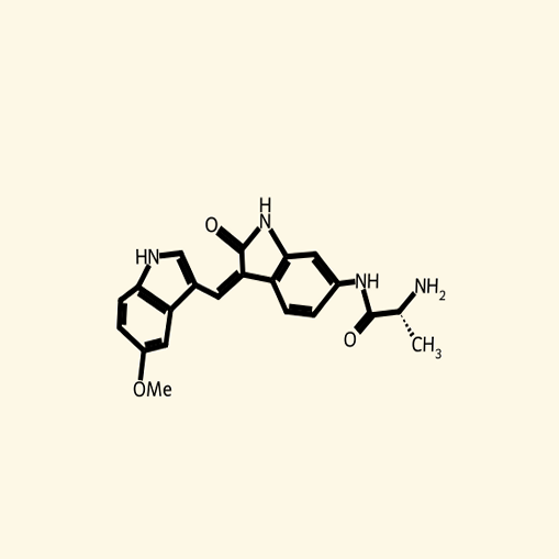 COc1ccc2[nH]cc(C=C3C(=O)Nc4cc(NC(=O)[C@@H](C)N)ccc43)c2c1